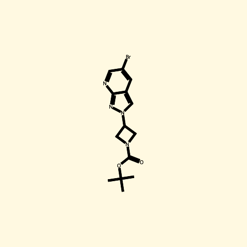 CC(C)(C)OC(=O)N1CC(n2cc3cc(Br)cnc3n2)C1